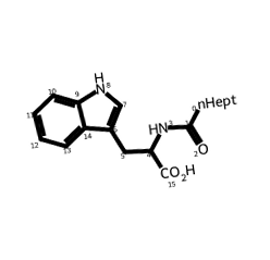 CCCCCCCC(=O)NC(Cc1c[nH]c2ccccc12)C(=O)O